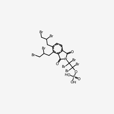 O=C1c2ccc(CC(Br)CBr)c(CC(Br)CBr)c2C(=O)N1C(Br)(Br)C(Br)(Br)OP(=O)(O)O